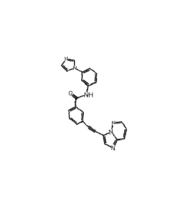 O=C(Nc1cccc(-n2ccnc2)c1)c1cccc(C#Cc2cnc3cccnn23)c1